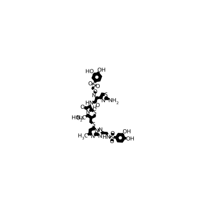 Cc1cc(SCC2=C(C(=O)O)N3C(=O)[C@@H](NC(=O)C(=NOCS(=O)(=O)c4ccc(O)c(O)c4)c4csc(N)n4)[C@H]3SC2)n2nc(CNS(=O)(=O)c3ccc(O)c(O)c3)nc2n1.[Na]